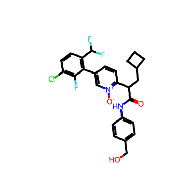 O=C(Nc1ccc(CO)cc1)C(CC1CCC1)c1ccc(-c2c(C(F)F)ccc(Cl)c2F)c[n+]1[O-]